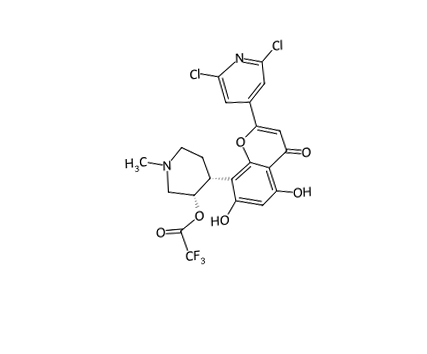 CN1CC[C@H](c2c(O)cc(O)c3c(=O)cc(-c4cc(Cl)nc(Cl)c4)oc23)[C@H](OC(=O)C(F)(F)F)C1